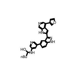 CCCCC(O)Nc1cncc(-c2ccc3[nH]nc(-c4cc5c(-c6ccoc6)cncc5[nH]4)c3c2)c1